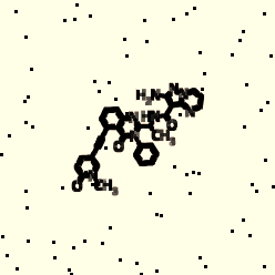 CC(NC(=O)c1c(N)nn2cccnc12)c1nc2cccc(C#Cc3ccc(=O)n(C)c3)c2c(=O)n1-c1ccccc1